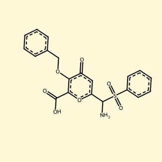 NC(c1cc(=O)c(OCc2ccccc2)c(C(=O)O)o1)S(=O)(=O)c1ccccc1